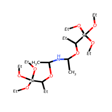 CCO[Si](OCC)(OCC)C(CC)OC(C)NC(C)OC(CC)[Si](OCC)(OCC)OCC